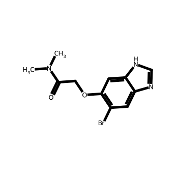 CN(C)C(=O)COc1cc2[nH]cnc2cc1Br